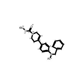 CC(=O)N(Cc1ccccc1)c1ccc(C2=CCN(C(=O)OC(C)(C)C)CC2)cc1